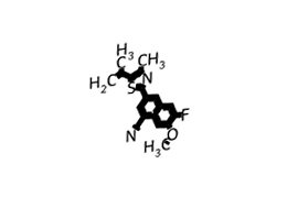 C=C(C)c1sc(-c2cc(C#N)c3cc(OC)c(F)cc3c2)nc1C